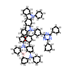 c1ccc(-c2nc(-c3ccccc3)nc(-c3ccc(-n4c5ccccc5c5cc6c7ccccc7n(-c7ccccc7)c6cc54)c(-c4cccc(-c5ccc6c7c5N(c5ccccc5)c5ccccc5B7c5ccccc5N6c5ccccc5)c4)c3)n2)cc1